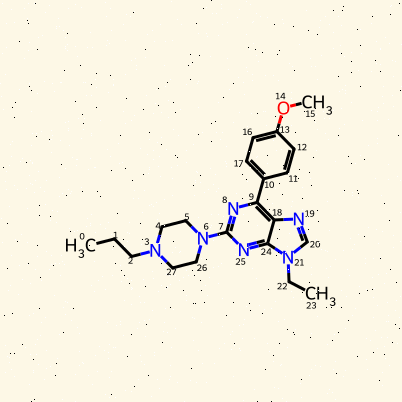 CCCN1CCN(c2nc(-c3ccc(OC)cc3)c3ncn(CC)c3n2)CC1